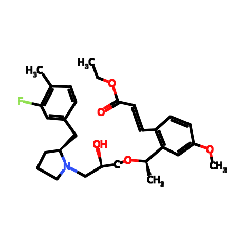 CCOC(=O)/C=C/c1ccc(OC)cc1[C@@H](C)OC[C@H](O)CN1CCC[C@H]1Cc1ccc(C)c(F)c1